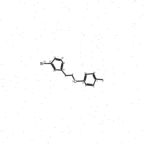 Cc1ccc(OCCc2cccc(Br)c2)cc1